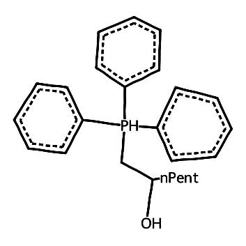 CCCCCC(O)C[PH](c1ccccc1)(c1ccccc1)c1ccccc1